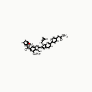 COc1cc(C(=O)N2CC3CCC2[C@@H]3N)cc2nc(-c3cc4ccc(-c5ccc(CC(N)=O)cn5)nc4n3CC3CC3)n(C)c12